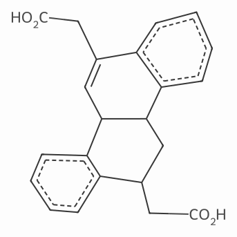 O=C(O)CC1=CC2c3ccccc3C(CC(=O)O)CC2c2ccccc21